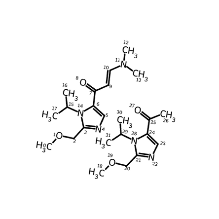 COCc1ncc(C(=O)C=CN(C)C)n1C(C)C.COCc1ncc(C(C)=O)n1C(C)C